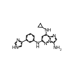 Nc1cnc2c(NC3CC3)cc(Nc3cccc(-c4c[nH]cn4)c3)nn12